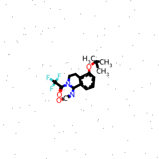 CC(C)(C)Oc1cccc2c1CCN(C(=O)C(F)(F)F)C2N=C=O